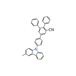 Cc1ccc2c(c1)c1ccccc1n2-c1ccc(-c2cc(C#N)c(-c3ccccc3)c(-c3ccccc3)c2)cc1